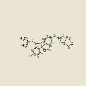 CN(C)CCCC1(c2ccc(F)cc2)OCc2cc(CN3CC4COCC4C3)ccc21